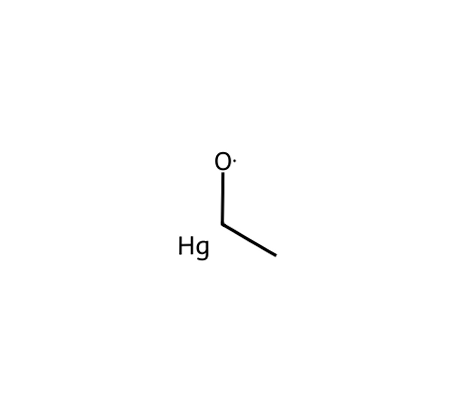 CC[O].[Hg]